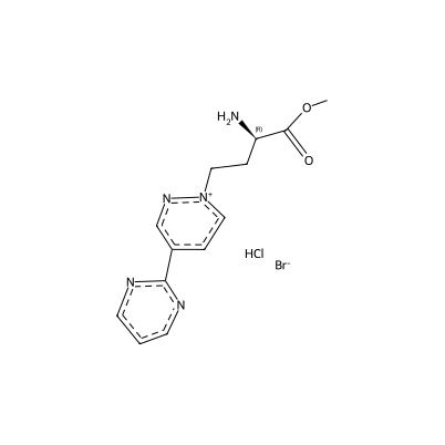 COC(=O)[C@H](N)CC[n+]1ccc(-c2ncccn2)cn1.Cl.[Br-]